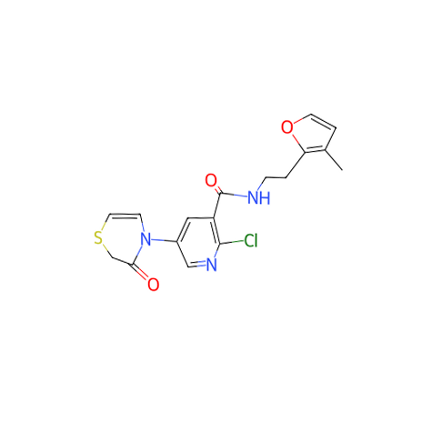 Cc1ccoc1CCNC(=O)c1cc(N2C=CSCC2=O)cnc1Cl